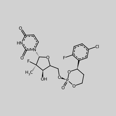 C[C@@]1(F)[C@H](O)C(CO[P@]2(=O)OCC[C@H](c3cc(Cl)ccc3F)O2)O[C@H]1n1ccc(=O)[nH]c1=O